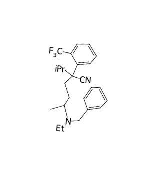 CCN(Cc1ccccc1)C(C)CCC(C#N)(c1ccccc1C(F)(F)F)C(C)C